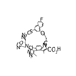 Cc1c(C(=O)O)n2c3ccc(Cl)c(c13)-c1c(nn(C)c1C)CN(Cc1ncco1)Cc1cc(n(C)n1)CSc1cc(c3ccc(F)cc3c1)OCCC2